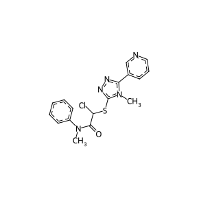 CN(C(=O)C(Cl)Sc1nnc(-c2cccnc2)n1C)c1ccccc1